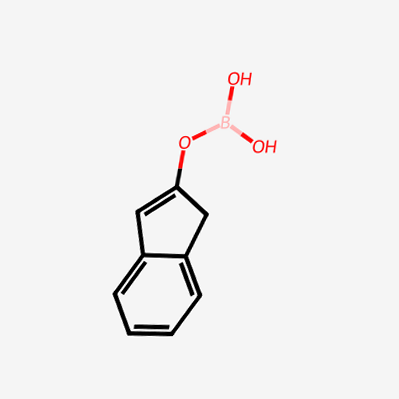 OB(O)OC1=Cc2ccccc2C1